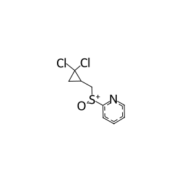 [O-][S+](CC1CC1(Cl)Cl)c1ccccn1